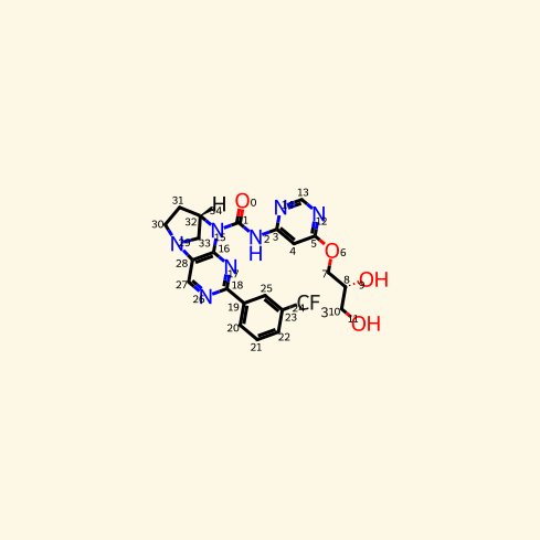 O=C(Nc1cc(OC[C@H](O)CO)ncn1)N1c2nc(-c3cccc(C(F)(F)F)c3)ncc2N2CC[C@H]1C2